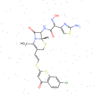 Nc1nc(C(=NO)C(=O)NC2C(=O)N3C(C(=O)O)=C(C=CSc4cc(=O)c5ccc(Cl)cc5s4)CS[C@@H]23)cs1